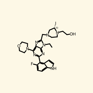 CCn1c(CN2CCN(CCO)[C@@H](I)C2)nc2c(N3CCOCC3)nc(-c3c(F)ccc4[nH]ccc34)nc21